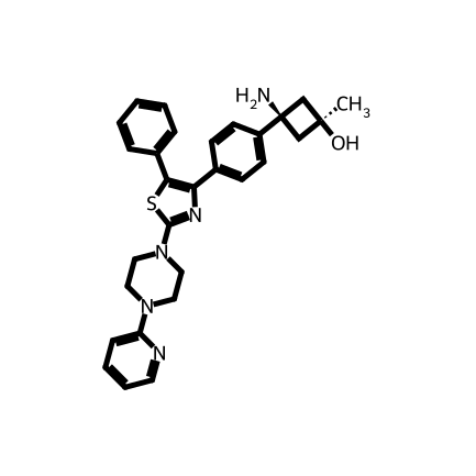 C[C@]1(O)C[C@](N)(c2ccc(-c3nc(N4CCN(c5ccccn5)CC4)sc3-c3ccccc3)cc2)C1